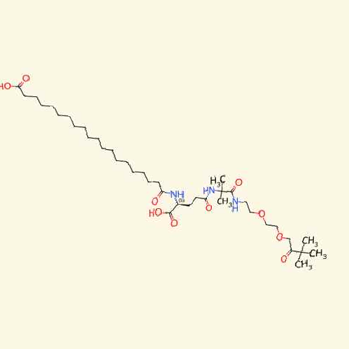 CC(C)(C)C(=O)COCCOCCNC(=O)C(C)(C)NC(=O)CC[C@H](NC(=O)CCCCCCCCCCCCCCCCCCC(=O)O)C(=O)O